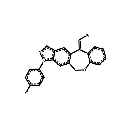 Fc1ccc(-n2ncc3cc4c(cc32)COc2ccccc2C4=CBr)cc1